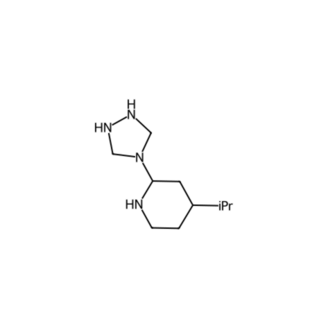 CC(C)C1CCNC(N2CNNC2)C1